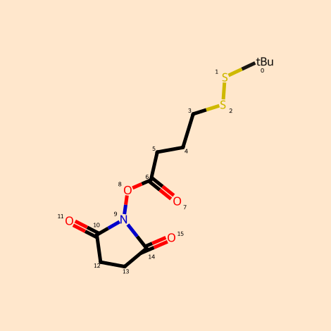 CC(C)(C)SSCCCC(=O)ON1C(=O)CCC1=O